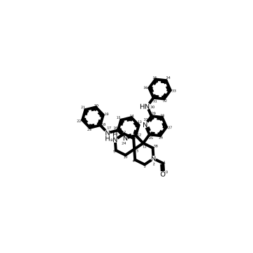 O=CN1CCC2(CCNCC2)C(c2cccc(Nc3ccccc3)n2)(c2cccc(Nc3ccccc3)n2)C1